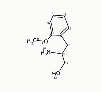 COc1ccccc1CC(N)CO